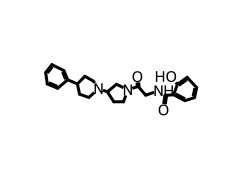 O=C(NCC(=O)N1CCC(N2CCC(c3ccccc3)CC2)C1)c1ccccc1O